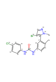 Cc1ccc(NC(=O)Nc2ccc(Cl)cc2)cc1-c1c(Br)cnn1C